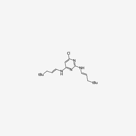 CC(C)(C)CC=CNc1cc(Cl)nc(NC=CCC(C)(C)C)n1